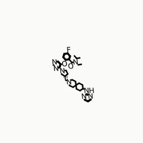 CCN(C(=O)c1cc(F)ccc1Oc1cncnc1N1CC[C@@H](CN2CCC3(CCC(Nc4ncccn4)CC3)CC2)C1)C(C)C